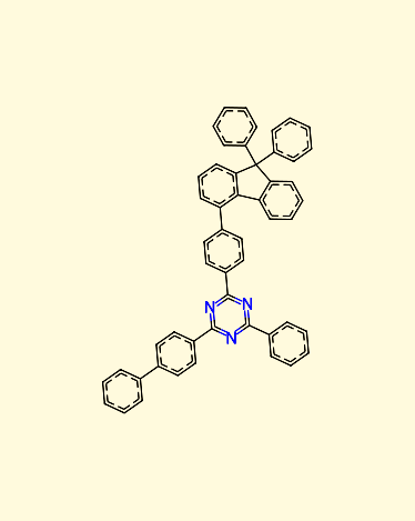 c1ccc(-c2ccc(-c3nc(-c4ccccc4)nc(-c4ccc(-c5cccc6c5-c5ccccc5C6(c5ccccc5)c5ccccc5)cc4)n3)cc2)cc1